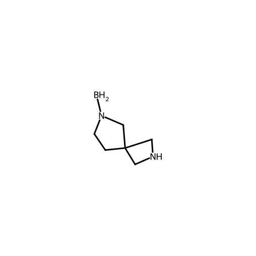 BN1CCC2(CNC2)C1